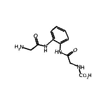 NCC(=O)Nc1ccccc1NC(=O)CNC(=O)O